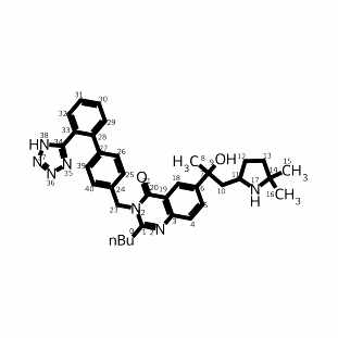 CCCCc1nc2ccc(C(C)(O)CC3CCC(C)(C)N3)cc2c(=O)n1Cc1ccc(-c2ccccc2-c2nnn[nH]2)cc1